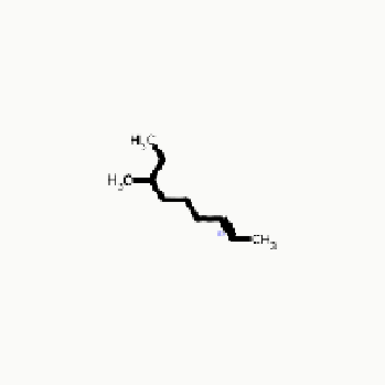 C/C=C/CCCC(C)CC